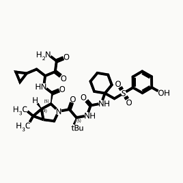 CC(C)(C)[C@H](NC(=O)NC1(CS(=O)(=O)c2cccc(O)c2)CCCCC1)C(=O)N1CC2[C@@H]([C@H]1C(=O)NC(CC1CC1)C(=O)C(N)=O)C2(C)C